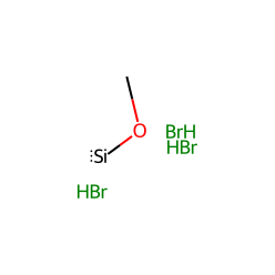 Br.Br.Br.CO[Si]